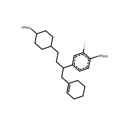 CCCCCCC1CCC(CCC(CC2=CCCCC2)c2ccc(CCCCC)c(F)c2)CC1